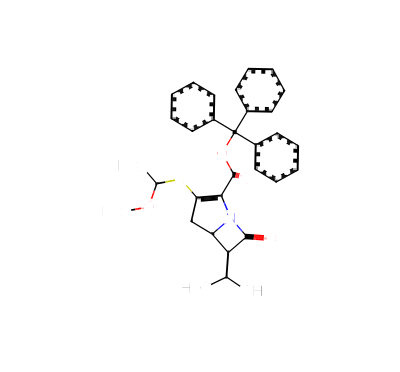 COC(C)SC1=C(C(=O)OC(c2ccccc2)(c2ccccc2)c2ccccc2)N2C(=O)C(C(C)C)C2C1